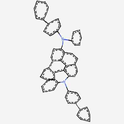 c1ccc(-c2ccc(N(c3ccccc3)c3ccc4c5ccccc5c5c(N(c6ccccc6)c6ccc(-c7ccccc7)cc6)ccc6ccc3c4c65)cc2)cc1